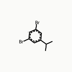 CC(C)c1cc(Br)[c]c(Br)c1